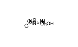 C[C@@H](CO)c1nnc([C@H]2C[C@@H](NC(=O)c3cc(-c4ccccc4)on3)C2)o1